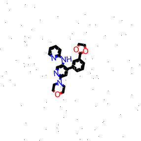 c1ccc(Nc2cnc(N3CCOCC3)cc2-c2cccc(C3OCCO3)c2)nc1